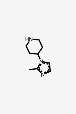 Cc1nccn1C1CCNCC1